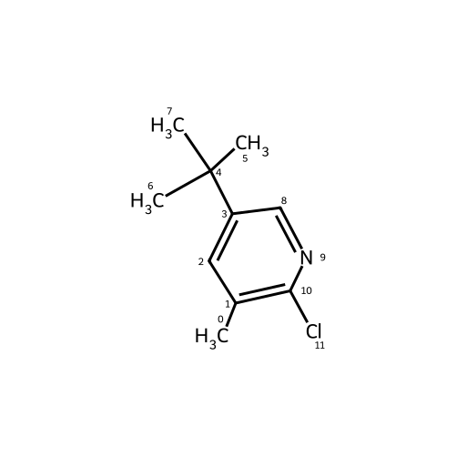 Cc1cc(C(C)(C)C)cnc1Cl